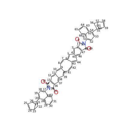 O=c1c2cc3cc4ccc5cc6cc7c(=O)n(-c8ccc(C9CC%10C=CC9C%10)c9ccccc89)c(=O)c7cc6cc5ccc4cc3cc2c(=O)n1-c1ccc(C2CC3C=CC2C3)c2ccccc12